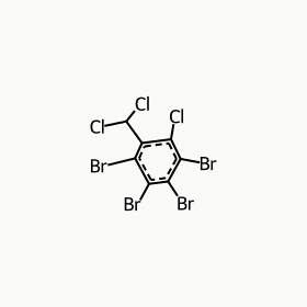 Clc1c(Br)c(Br)c(Br)c(Br)c1C(Cl)Cl